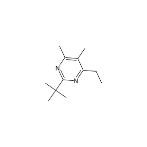 CCc1nc(C(C)(C)C)nc(C)c1C